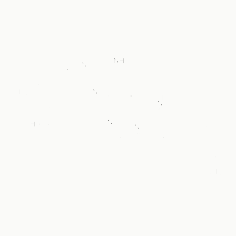 COc1ccc(Nc2cc(-n3c(N)nc4cc(C)c(C)cc43)ncn2)cc1